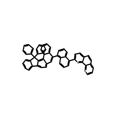 c1ccc(C2(c3ccccc3)c3ccccc3-c3ccc4cc(-c5cccc6c(-c7ccc8ccc9cccnc9c8n7)cccc56)c5ccccc5c4c32)cc1